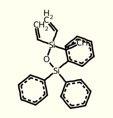 C=C[Si](C=C)(C=C)O[Si](c1ccccc1)(c1ccccc1)c1ccccc1